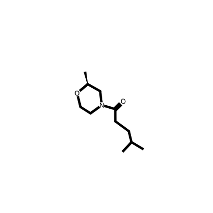 CC(C)CCC(=O)N1CCO[C@@H](C)C1